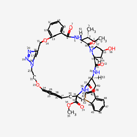 CC[C@@H](C)[C@H]1NC(=O)c2ccccc2OCc2cn(nn2)CCOc2ccc(cc2)C[C@@H](C(=O)OC)NC(=O)[C@H](Cc2csc3ccccc23)NC(=O)[C@H]2C[C@H](O)CN2C1=O